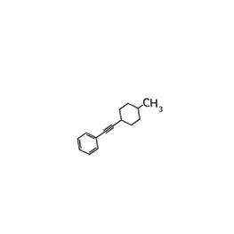 CC1CCC(C#Cc2ccccc2)CC1